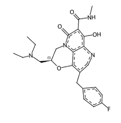 CCN(CC)C[C@H]1Cn2c(=O)c(C(=O)NC)c(O)c3ncc(Cc4ccc(F)cc4)c(c32)O1